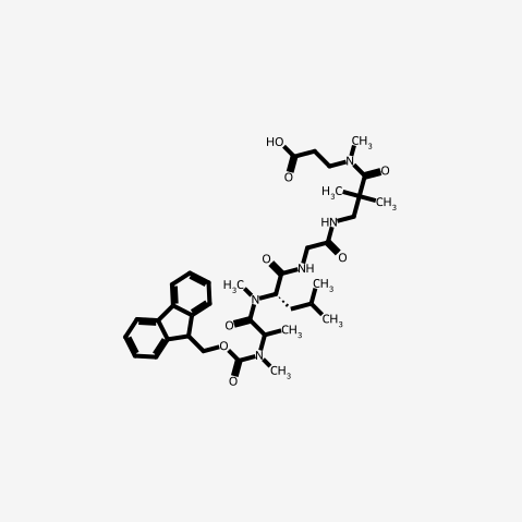 CC(C)C[C@@H](C(=O)NCC(=O)NCC(C)(C)C(=O)N(C)CCC(=O)O)N(C)C(=O)C(C)N(C)C(=O)OCC1c2ccccc2-c2ccccc21